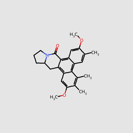 COc1cc2c3c(c4cc(OC)c(C)c(C)c4c2cc1C)CC1CCCN1C3=O